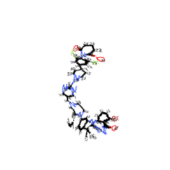 CC[C@@H]1CN(Cc2cnc(N3CCC(c4cc(F)c(N5C(=O)CCCC5=O)c(F)c4)CC3)nc2)CCN1c1ccc2c(c1)-n1c(nc(=O)c3c(Br)cccc31)C2(C)C